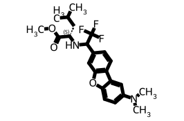 COC(=O)[C@H](CC(C)C)NC(c1ccc2c(c1)oc1ccc(N(C)C)cc12)C(F)(F)F